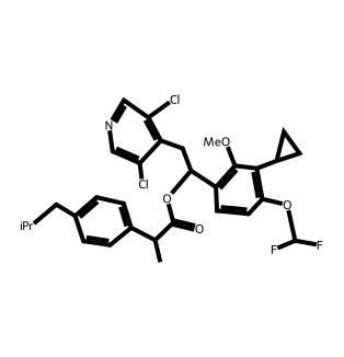 COc1c(C(Cc2c(Cl)cncc2Cl)OC(=O)C(C)c2ccc(CC(C)C)cc2)ccc(OC(F)F)c1C1CC1